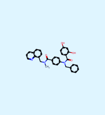 CN(Cc1cccc2cccnc12)C(=O)c1ccc(N(Cc2ccccc2)C(=O)c2ccc(O)cc2O)cc1